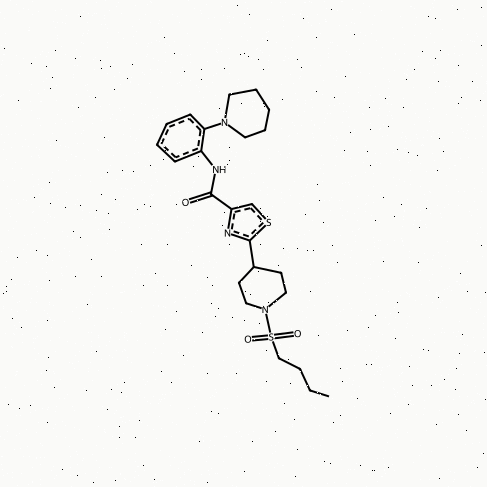 CCCCS(=O)(=O)N1CCC(c2nc(C(=O)Nc3ccccc3N3CCCCC3)cs2)CC1